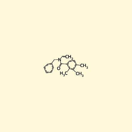 C=CN(Cc1ccccc1)C(=O)c1ccc(C)c(C)c1C